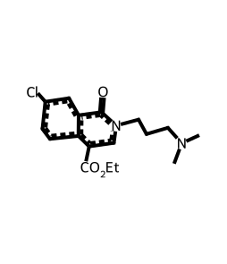 CCOC(=O)c1cn(CCCN(C)C)c(=O)c2cc(Cl)ccc12